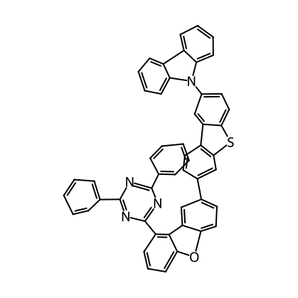 c1ccc(-c2nc(-c3ccccc3)nc(-c3cccc4oc5ccc(-c6ccc7c(c6)sc6ccc(-n8c9ccccc9c9ccccc98)cc67)cc5c34)n2)cc1